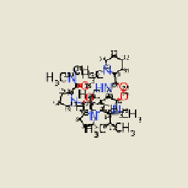 CC(C)[C@@H](CN1CCC[C@H]1C(=O)N1CCC[C@H]1C(=O)N(C)C)N(C)C(=O)[C@@H](NC(=O)C1CCCCN1C)C(C)(C)C